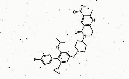 Cc1nc2c(cc1C(=O)O)C(=O)N(C1CCN(Cc3cc(OC(C)C)c(-c4ccc(F)cc4)c(C4CC4)c3)CC1)CC2